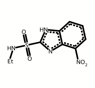 CCNS(=O)(=O)c1nc2c([N+](=O)[O-])cccc2[nH]1